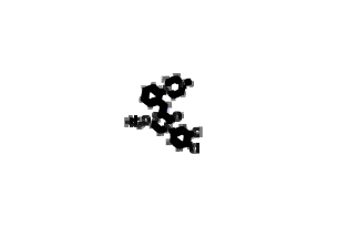 CN1CCN(c2ccccc2/C=C2\SCCN(c3ccc(Cl)c(Cl)c3)C2=O)CC1.Cl.O